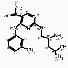 Cc1cccc(Nc2nc(NC[C@@H](N)CC(C)C)ncc2C(N)=O)c1